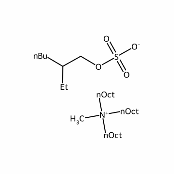 CCCCC(CC)COS(=O)(=O)[O-].CCCCCCCC[N+](C)(CCCCCCCC)CCCCCCCC